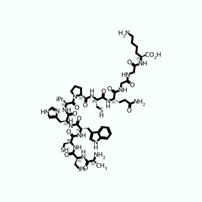 CC(C)C[C@H](NC(=O)[C@H](C)N)C(=O)N[C@@H](CS)C(=O)N[C@@H](Cc1c[nH]c2ccccc12)C(=O)N[C@@H](Cc1c[nH]cn1)C(=O)N[C@H](C(=O)N1CCC[C@H]1C(=O)N[C@@H](CS)C(=O)N[C@@H](CCC(N)=O)C(=O)NCC(=O)NCC(=O)N[C@@H](CCCCN)C(=O)O)C(C)C